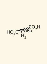 C=CCCCC.O=C(O)CCCCCCCCC(=O)O